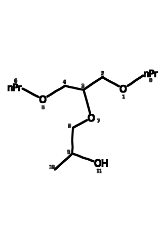 C[CH]COCC(COC[CH]C)OCC(C)O